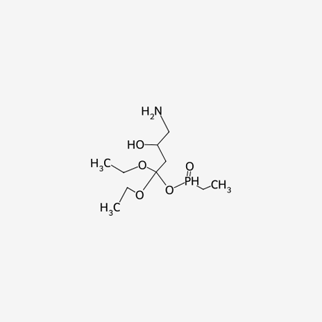 CCOC(CC(O)CN)(OCC)O[PH](=O)CC